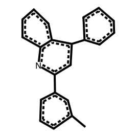 Cc1cccc(-c2cc(-c3ccccc3)c3ccccc3n2)c1